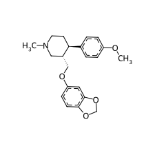 COc1ccc([C@@H]2CCN(C)C[C@H]2COc2ccc3c(c2)OCO3)cc1